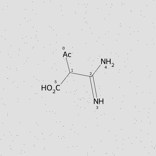 CC(=O)C(C(=N)N)C(=O)O